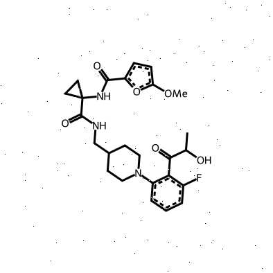 COc1ccc(C(=O)NC2(C(=O)NCC3CCN(c4cccc(F)c4C(=O)C(C)O)CC3)CC2)o1